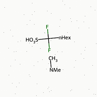 CCCCCCC(F)(F)S(=O)(=O)O.CNC